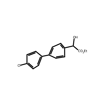 CCOC(=O)C(O)c1ccc(-c2ccc(Cl)cc2)cc1